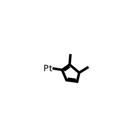 CC1=[C]([Pt])C=CC1C